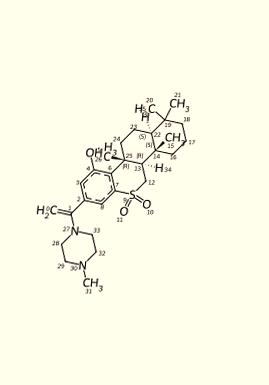 C=C(c1cc(O)c2c(c1)S(=O)(=O)C[C@@H]1[C@@]3(C)CCCC(C)(C)[C@@H]3CC[C@@]21C)N1CCN(C)CC1